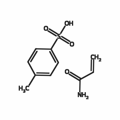 C=CC(N)=O.Cc1ccc(S(=O)(=O)O)cc1